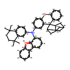 CC1(C)CCC(C)(C)c2cc(N(c3ccc4c(c3)C3(c5ccccc5S4)C4CC5CC(C4)C3C5)c3cccc4c3oc3ccccc34)ccc21